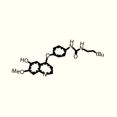 COc1cc2nccc(Oc3ccc(NC(=O)NCCC(C)(C)C)cc3)c2cc1O